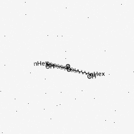 CCCCCCC(O)CCCCCCCCCCCOC(=O)CCCCCCCCCCC(O)CCCCCC